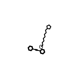 C(#Cc1ccccc1OCCCCCCCCC1CCCC1)c1ccccc1